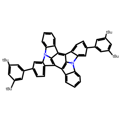 CC(C)(C)c1cc(-c2ccc3c4c5c6ccccc6n6c7cc(-c8cc(C(C)(C)C)cc(C(C)(C)C)c8)ccc7c(c7c8ccccc8n(c3c2)c74)c56)cc(C(C)(C)C)c1